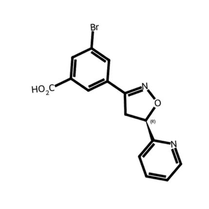 O=C(O)c1cc(Br)cc(C2=NO[C@@H](c3ccccn3)C2)c1